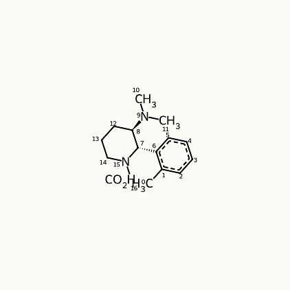 Cc1ccccc1[C@H]1[C@H](N(C)C)CCCN1C(=O)O